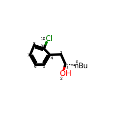 CCCC[C@H](O)Cc1ccccc1Cl